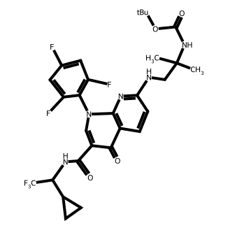 CC(C)(CNc1ccc2c(=O)c(C(=O)NC(C3CC3)C(F)(F)F)cn(-c3c(F)cc(F)cc3F)c2n1)NC(=O)OC(C)(C)C